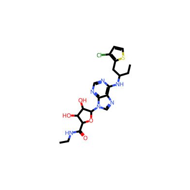 CCNC(=O)C1OC(n2cnc3c(NC(CC)Cc4sccc4Cl)ncnc32)C(O)C1O